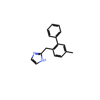 Cc1ccc(Cc2ncc[nH]2)c(-c2ccccc2)c1